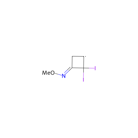 CON=C1C[CH]C1(I)I